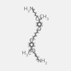 CCC(OCCCCCN)c1ccc(OCCCCCCOc2ccc(C(CC)OCCCCCN)cc2)cc1